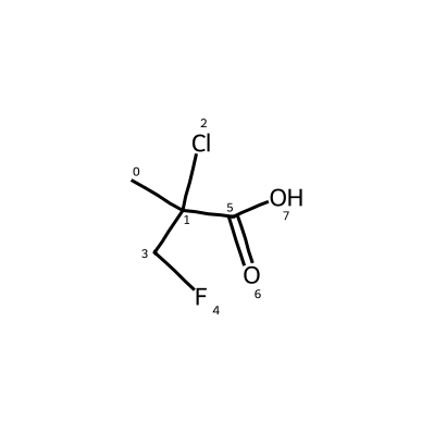 CC(Cl)(CF)C(=O)O